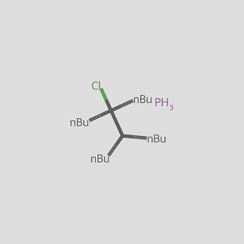 CCCCC(CCCC)C(Cl)(CCCC)CCCC.P